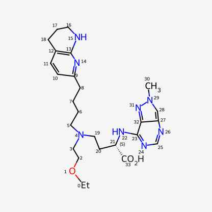 CCOCCN(CCCCc1ccc2c(n1)NCCC2)CC[C@H](Nc1ncnc2cn(C)nc12)C(=O)O